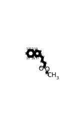 CCOC(=O)CCCC1CCC2(CCCCC2)C1